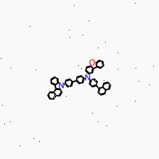 C1=CC2C=CC=C(c3ccc(N(c4ccc(-c5ccc(-n6c7ccccc7c7c8ccccc8ccc76)cc5)cc4)c4ccc5oc6ccccc6c5c4)cc3)C2C=C1